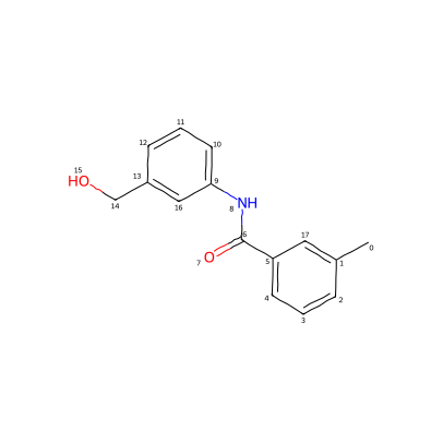 Cc1cccc(C(=O)Nc2cccc(CO)c2)c1